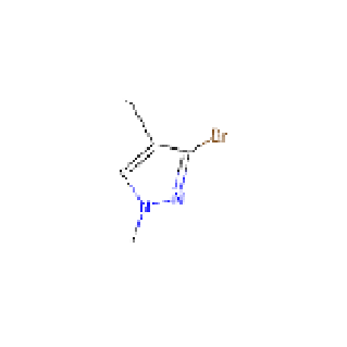 [CH2]c1cn(C)nc1Br